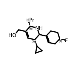 CCC[C@H]1NC(C2=CC[C@H](F)CC2)[C@@H](C2CC2)C=C1CO